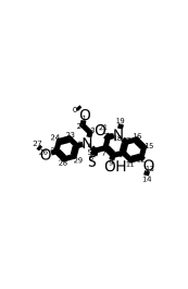 COCCN(C(=S)c1c(O)c2cc(OC)ccc2n(C)c1=O)c1ccc(OC)cc1